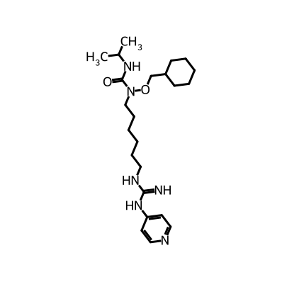 CC(C)NC(=O)N(CCCCCCNC(=N)Nc1ccncc1)OCC1CCCCC1